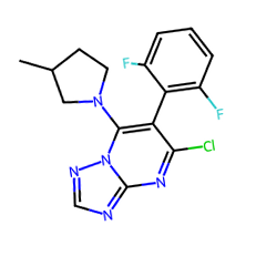 CC1CCN(c2c(-c3c(F)cccc3F)c(Cl)nc3ncnn23)C1